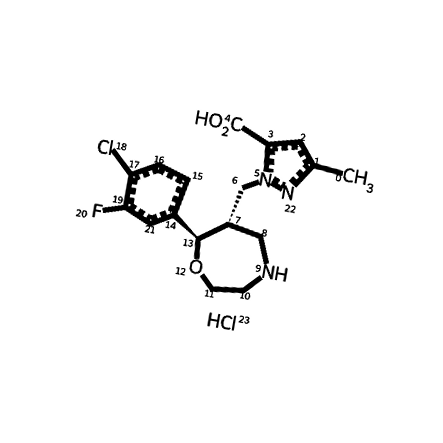 Cc1cc(C(=O)O)n(C[C@@H]2CNCCO[C@H]2c2ccc(Cl)c(F)c2)n1.Cl